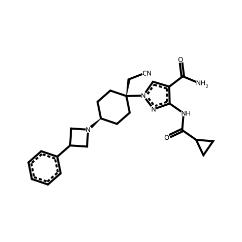 N#CC[C@]1(n2cc(C(N)=O)c(NC(=O)C3CC3)n2)CC[C@H](N2CC(c3ccccc3)C2)CC1